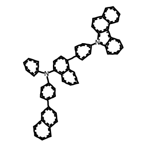 c1ccc(N(c2ccc(-c3ccc4ccccc4c3)cc2)c2ccc(-c3ccc(-n4c5ccccc5c5c6ccccc6ccc54)cc3)c3ccccc23)cc1